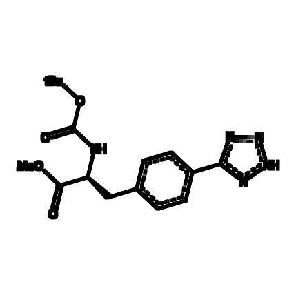 COC(=O)[C@H](Cc1ccc(-c2nn[nH]n2)cc1)NC(=O)OC(C)(C)C